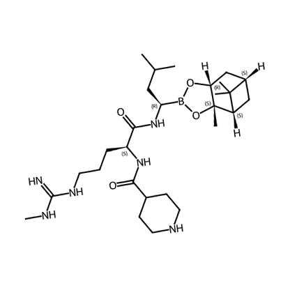 CNC(=N)NCCC[C@H](NC(=O)C1CCNCC1)C(=O)N[C@@H](CC(C)C)B1O[C@@H]2C[C@@H]3C[C@@H](C3(C)C)[C@]2(C)O1